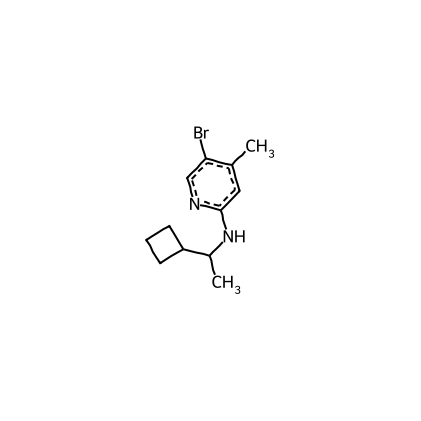 Cc1cc(NC(C)C2CCC2)ncc1Br